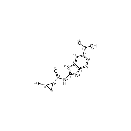 O=C(Nc1nc2ccc(B(O)O)cc2s1)[C@@H]1C[C@@H]1F